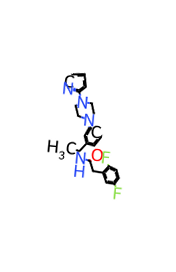 CC(NC(=O)Cc1cc(F)ccc1F)c1cccc(N2CCN(c3ccccn3)CC2)c1